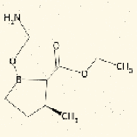 CCOC(=O)[C@H]1B(OCN)CC[C@@H]1C